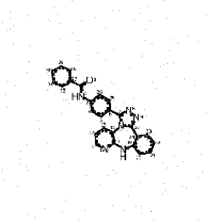 O=C(Nc1ccc(-c2nnc3n2-c2cccnc2Nc2ccccc2-3)cc1)c1ccccc1